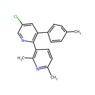 Cc1ccc(-c2cc(Cl)cnc2-c2ccc(C)nc2C)cc1